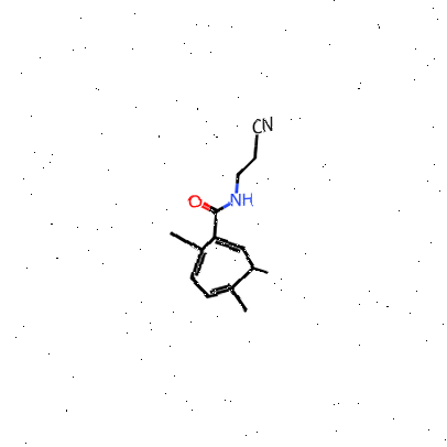 CC1=CC=C(C)C(C)C=C1C(=O)NCCC#N